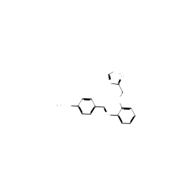 COc1ccc(C=Nc2ccccc2SCc2ncon2)cc1